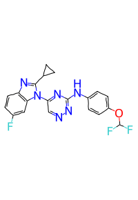 Fc1ccc2nc(C3CC3)n(-c3cnnc(Nc4ccc(OC(F)F)cc4)n3)c2c1